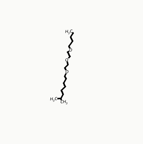 CCCCCOCCOCCOCCCCCCC(C)C